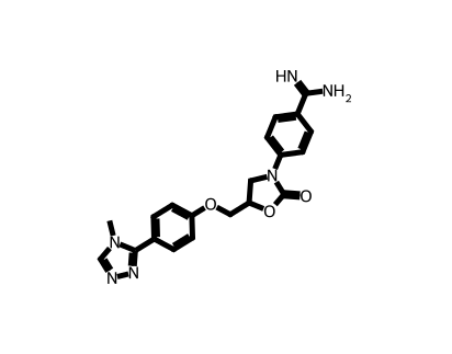 Cn1cnnc1-c1ccc(OCC2CN(c3ccc(C(=N)N)cc3)C(=O)O2)cc1